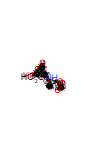 O=C(CCSC(C(=O)Nc1ccc(-c2c3ccc(=O)cc-3oc3cc(O)ccc23)c(C(=O)O)c1)c1ccccc1)OC1C(=O)CCC1=O